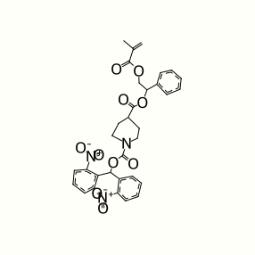 C=C(C)C(=O)OCC(OC(=O)C1CCN(C(=O)OC(c2ccccc2[N+](=O)[O-])c2ccccc2[N+](=O)[O-])CC1)c1ccccc1